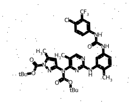 Cc1ccc(NC(=O)Nc2ccc(Cl)c(C(F)(F)F)c2)cc1Nc1ncc(C)c(N(C(=O)OC(C)(C)C)c2cc(C)n(C(=O)OC(C)(C)C)n2)n1